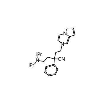 CC(C)N(CCC(C#N)(CCN1C=CN2CC=CC2=C1)c1ccccc1)C(C)C